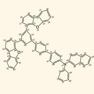 c1ccc(N(c2ccc(-c3ccc(-c4cc(-c5cccc6c5oc5ccccc56)cc(-c5cccc6c5oc5ccccc56)c4)cc3)cc2)c2ccc3ccccc3c2)cc1